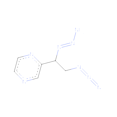 [N-]=[N+]=NCC(N=NN)c1cnccn1